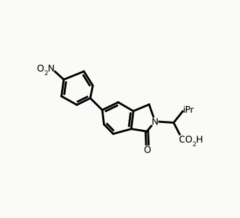 CC(C)C(C(=O)O)N1Cc2cc(-c3ccc([N+](=O)[O-])cc3)ccc2C1=O